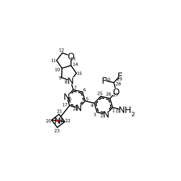 Nc1ncc(-c2cc(N3CC4CCOC4C3)nc(N3CC4CC3C4)n2)cc1OC(F)F